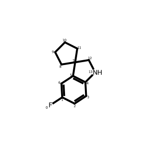 Fc1ccc2c(c1)C1(CCCC1)CN2